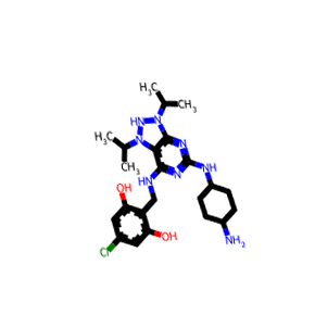 CC(C)N1NN(C(C)C)c2c(NCc3c(O)cc(Cl)cc3O)nc(NC3CCC(N)CC3)nc21